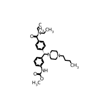 CCCCN1CCN([C@@H](c2ccc(C(=O)N(CC)CC)cc2)c2cccc(NC(=O)OC)c2)CC1